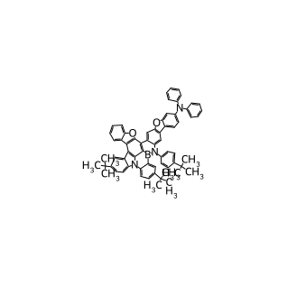 CC(C)(C)c1ccc(N2B3c4cc(C(C)(C)C)ccc4-n4c5ccc(C(C)(C)C)cc5c5c6c(oc7ccccc76)c(c3c54)-c3cc4oc5cc(N(c6ccccc6)c6ccccc6)ccc5c4cc32)cc1